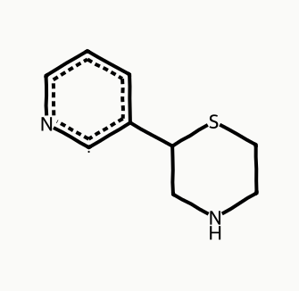 [c]1ncccc1C1CNCCS1